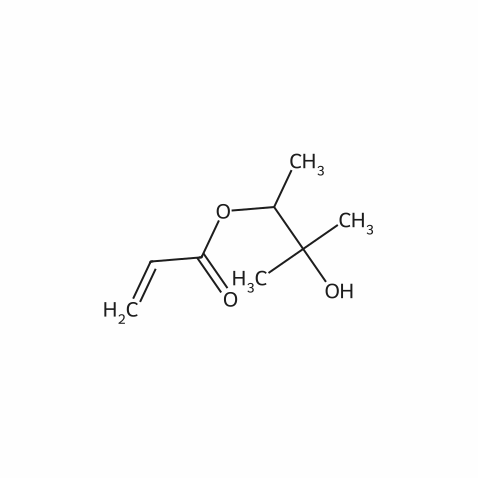 C=CC(=O)OC(C)C(C)(C)O